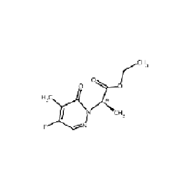 CCOC(=O)[C@@H](C)n1ncc(F)c(C)c1=O